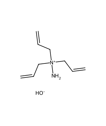 C=CC[N+](N)(CC=C)CC=C.[OH-]